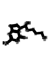 Nc1nc2ncn(C(O)OCCCO)c2c(=O)[nH]1